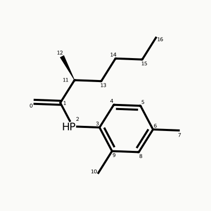 C=C(Pc1ccc(C)cc1C)[C@@H](C)CCCC